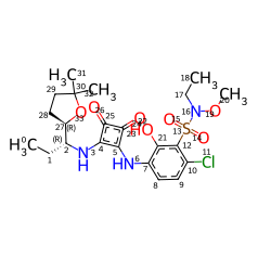 CC[C@@H](Nc1c(Nc2ccc(Cl)c(S(=O)(=O)N(CC)OC)c2O)c(=O)c1=O)[C@H]1CCC(C)(C)O1